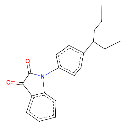 CCCC(CC)c1ccc(N2C(=O)C(=O)c3ccccc32)cc1